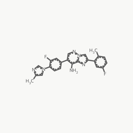 Cc1cn(-c2ccc(-c3cnn4cc(-c5cc(F)ccc5C)nc4c3N)cc2F)cn1